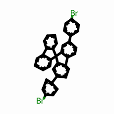 Brc1ccc(-c2ccc3c(c2)C2(c4ccccc4-c4ccccc42)c2cc(-c4ccc(Br)cc4)ccc2-3)cc1